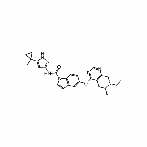 CCN1Cc2ncnc(Oc3ccc4c(ccn4C(=O)Nc4cc(C5(C)CC5)[nH]n4)c3)c2C[C@@H]1C